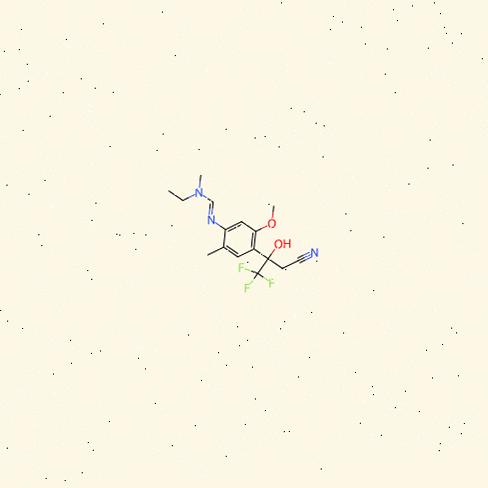 CCN(C)C=Nc1cc(OC)c(C(O)(CC#N)C(F)(F)F)cc1C